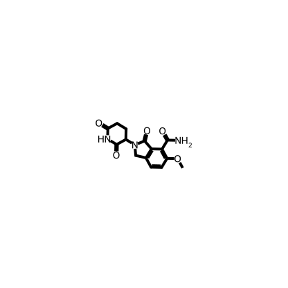 COc1ccc2c(c1C(N)=O)C(=O)N(C1CCC(=O)NC1=O)C2